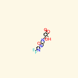 Cc1c(C(O)CN2CCC3(CC2)CCN(c2ccc(C(F)F)nc2)C3=O)ccc2c1COC2=O